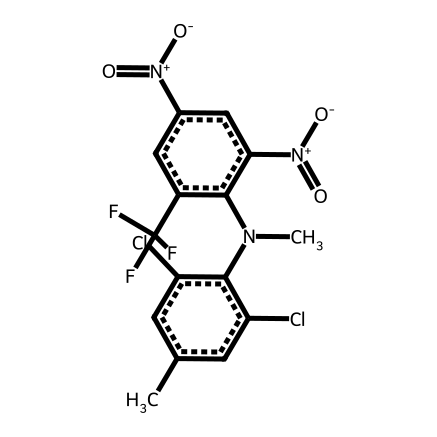 Cc1cc(Cl)c(N(C)c2c([N+](=O)[O-])cc([N+](=O)[O-])cc2C(F)(F)F)c(Cl)c1